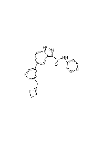 O=C(Nc1ccncc1)c1n[nH]c2ccc(-c3cncc(CN4CCC4)c3)cc12